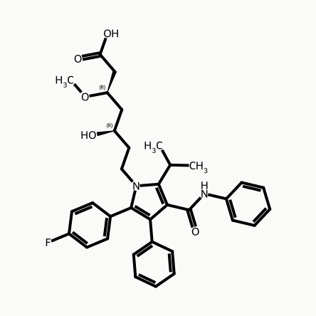 CO[C@@H](CC(=O)O)C[C@H](O)CCn1c(-c2ccc(F)cc2)c(-c2ccccc2)c(C(=O)Nc2ccccc2)c1C(C)C